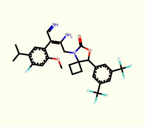 COc1cc(F)c(C(C)C)cc1/C(C=N)=C(/N)CN1C(=O)OC(c2cc(C(F)(F)F)cc(C(F)(F)F)c2)C12CCC2